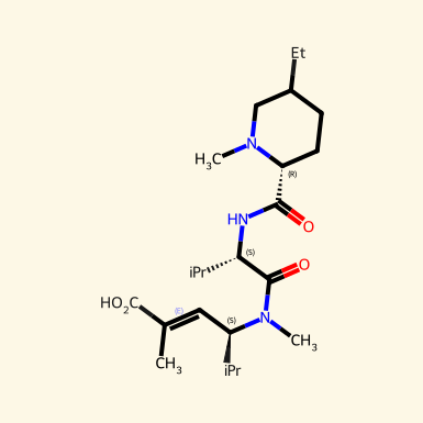 CCC1CC[C@H](C(=O)N[C@H](C(=O)N(C)[C@H](/C=C(\C)C(=O)O)C(C)C)C(C)C)N(C)C1